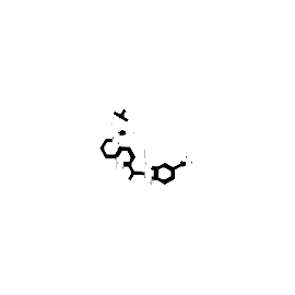 CC(c1ccc2c(n1)CCCN2C(=O)OC(C)(C)C)c1nc2ccc(C#N)cc2[nH]1